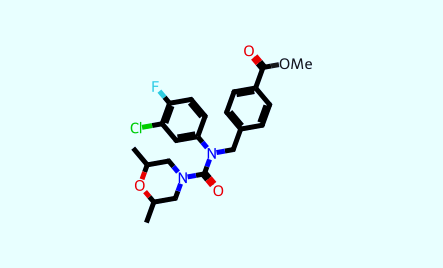 COC(=O)c1ccc(CN(C(=O)N2CC(C)OC(C)C2)c2ccc(F)c(Cl)c2)cc1